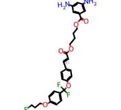 Nc1cc(N)cc(C(=O)OCCCCOC(=O)/C=C/c2ccc(OC(F)(F)c3ccc(OCCCF)cc3)cc2)c1